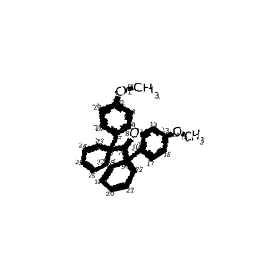 COc1ccc(C2(C(=O)C3(c4ccc(OC)cc4)C=CC=CC3)C=CC=CC2)cc1